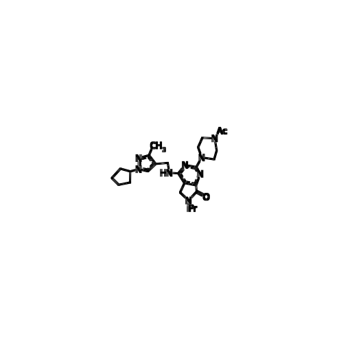 CC(=O)N1CCN(c2nc(NCc3cn(C4CCCC4)nc3C)c3c(n2)C(=O)N(C(C)C)C3)CC1